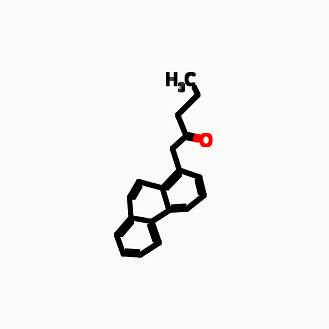 CCCC(=O)Cc1cccc2c1ccc1ccccc12